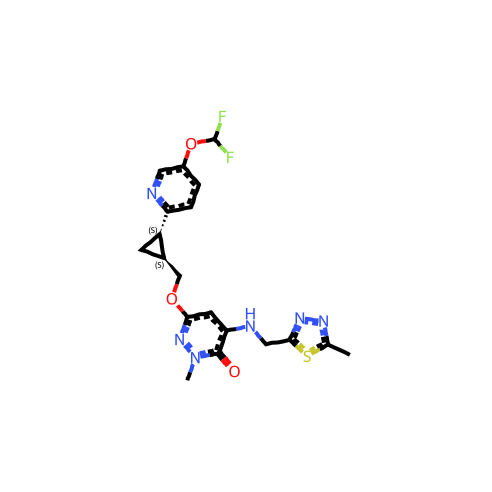 Cc1nnc(CNc2cc(OC[C@H]3C[C@@H]3c3ccc(OC(F)F)cn3)nn(C)c2=O)s1